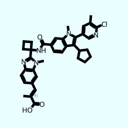 C/C(=C\c1ccc2nc(C3(NC(=O)c4ccc5c(C6CCCC6)c(-c6cnc(Cl)c(C)c6)n(C)c5c4)CCC3)n(C)c2c1)C(=O)O